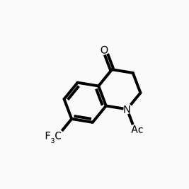 CC(=O)N1CCC(=O)c2ccc(C(F)(F)F)cc21